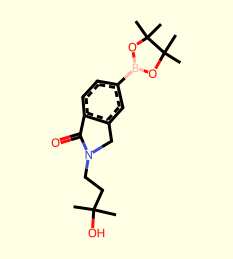 CC(C)(O)CCN1Cc2cc(B3OC(C)(C)C(C)(C)O3)ccc2C1=O